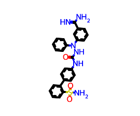 N=C(N)c1cccc(N(NC(=O)Nc2ccc(-c3ccccc3S(N)(=O)=O)cc2)c2ccccc2)c1